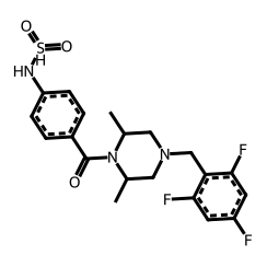 CC1CN(Cc2c(F)cc(F)cc2F)CC(C)N1C(=O)c1ccc(N[SH](=O)=O)cc1